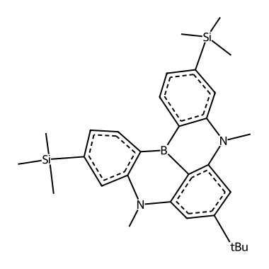 CN1c2cc([Si](C)(C)C)ccc2B2c3ccc([Si](C)(C)C)cc3N(C)c3cc(C(C)(C)C)cc1c32